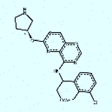 COCC(Nc1ncnc2ccc(O[C@H]3CCNC3)nc12)c1cccc(Cl)c1F